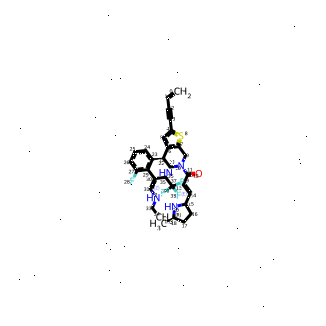 C=CC#Cc1cc2c(s1)CN(C(=O)/C=C/C1CC[C@@H](C)N1)C[C@H]2c1cccc(F)c1/C(=C/NCC)C(=N)C(F)(F)F